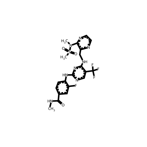 CNC(=O)c1ccc(Nc2ncc(C(F)(F)F)c(NCc3nccnc3N(C)S(C)(=O)=O)n2)c(F)c1